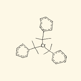 C[C](C)(c1ccccc1)[Cr]([C](C)(C)c1ccccc1)[C](C)(C)c1ccccc1